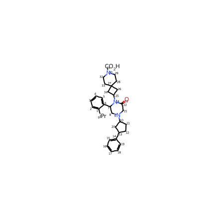 CC(C)c1ccccc1C1CN(C2CCC(c3ccccc3)C2)CC(=O)N1C1CC2(CCN(C(=O)O)CC2)C1